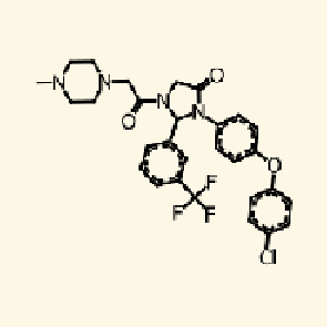 CN1CCN(CC(=O)N2CC(=O)N(c3ccc(Oc4ccc(Cl)cc4)cc3)C2c2cccc(C(F)(F)F)c2)CC1